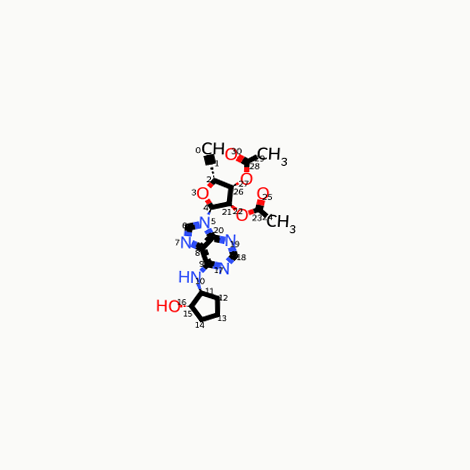 C#C[C@H]1O[C@@H](n2cnc3c(N[C@H]4CCC[C@@H]4O)ncnc32)[C@H](OC(C)=O)[C@H]1OC(C)=O